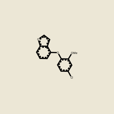 COc1cc(Cl)ccc1Oc1cccc2occc12